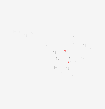 CC(=O)c1c([C@H]2C[C@H]3CC[C@@H](C2)N3C(=O)c2nnc[nH]2)nc2c(-c3ccc(-c4ccn(C)n4)nc3)cnn2c1N